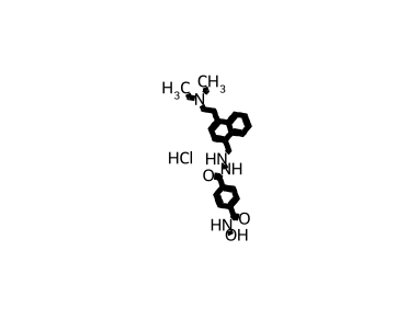 CCN(CC)CCc1ccc(CNNC(=O)c2ccc(C(=O)NO)cc2)c2ccccc12.Cl